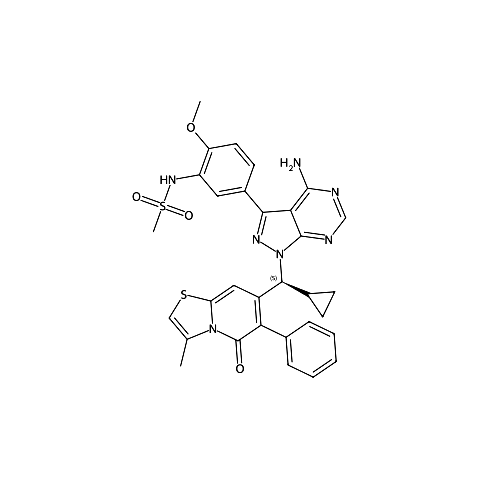 COc1ccc(-c2nn([C@H](c3cc4scc(C)n4c(=O)c3-c3ccccc3)C3CC3)c3ncnc(N)c23)cc1NS(C)(=O)=O